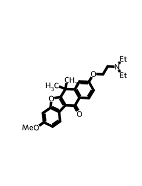 CCN(CC)CCOc1ccc2c(c1)C(C)(C)c1oc3cc(OC)ccc3c1C2=O